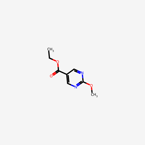 CCOC(=O)c1cnc(OC)nc1